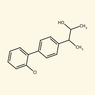 CC(O)C(C)c1ccc(-c2ccccc2Cl)cc1